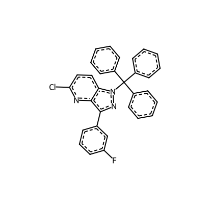 Fc1cccc(-c2nn(C(c3ccccc3)(c3ccccc3)c3ccccc3)c3ccc(Cl)nc23)c1